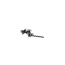 CCCCCCCCCCCCCCOP(=O)(O)OC[C@H]1O[C@@H](n2cc(F)c(=O)[nH]c2=O)C[C@@]1(O)C(C)=O